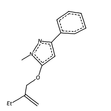 C=C(CC)COc1cc(-c2ccccc2)nn1C